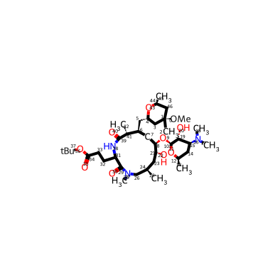 CO[C@]1(C)C[C@H](C[C@H]2C[C@@H](O[C@@H]3O[C@H](C)C[C@H](N(C)C)[C@H]3O)[C@H](O)C[C@@H](C)CN(C)C(=O)C(CCC(=O)OC(C)(C)C)NC(=O)[C@@H]2C)O[C@@H](C)C1